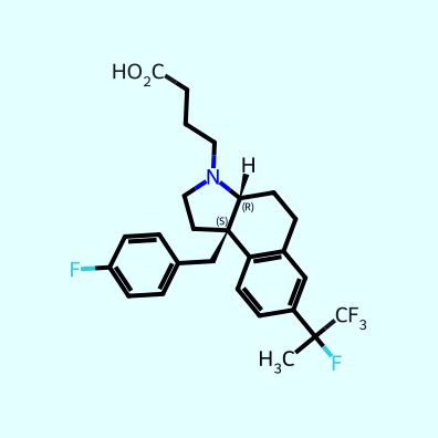 CC(F)(c1ccc2c(c1)CC[C@H]1N(CCCC(=O)O)CC[C@@]21Cc1ccc(F)cc1)C(F)(F)F